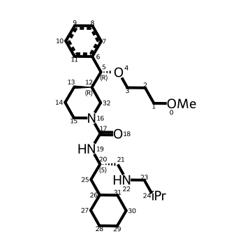 COCCCO[C@@H](c1ccccc1)[C@@H]1CCCN(C(=O)N[C@H](CNCC(C)C)CC2CCCCC2)C1